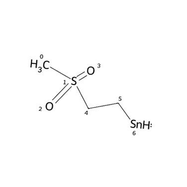 CS(=O)(=O)C[CH2][SnH]